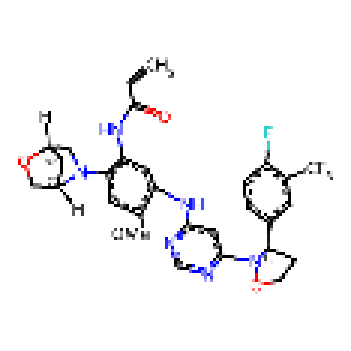 C=CC(=O)Nc1cc(Nc2cc(N3OCC[C@@H]3c3ccc(F)c(C(F)(F)F)c3)ncn2)c(OC)cc1N1C[C@@H]2C[C@H]1CO2